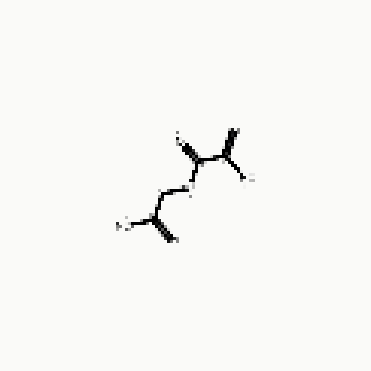 [C-]#[N+]C(=C)C(=O)OCC(=C)C#N